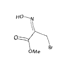 COC(=O)/C(CBr)=N\O